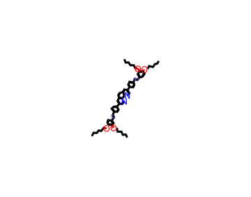 CCCCCCOc1ccc(/C=C/c2ccc(-c3cnc4c(ccc5cc(-c6ccc(/C=C/c7ccc(OCCCCCC)c(OCCCCCC)c7)cc6)cnc54)c3)cc2)cc1OCCCCCC